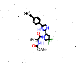 C#Cc1ccc(-c2cnc([C@@H]3CC(F)(F)CN3C(=O)[C@@H](NC(=O)OC)C(C)C)[nH]2)cc1